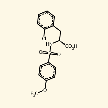 O=C(O)[C@H](Cc1ccccc1Cl)NS(=O)(=O)c1ccc(OC(F)(F)F)cc1